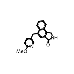 COc1ccc(Cc2cc3c(c4ccccc24)CNC3=O)cn1